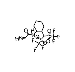 N=CC(=O)NC1CCCCC1C(S(=O)(=O)C(F)(F)F)S(=O)(=O)C(F)(F)F